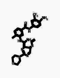 C=C/N=C1/C=NC(N2CCOCC2)=N/C1=C(/N)Nc1cc(C(=O)Nc2ccc(N)c(C(F)(F)F)c2)ccc1C